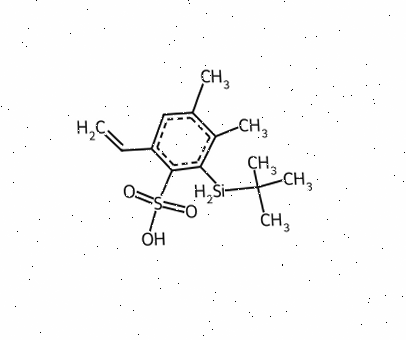 C=Cc1cc(C)c(C)c([SiH2]C(C)(C)C)c1S(=O)(=O)O